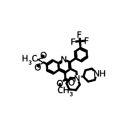 COC(=O)c1c(C[N+]2(C3CCNCC3)CCCCC2)c(-c2cccc(C(F)(F)F)c2)nc2cc(S(C)(=O)=O)ccc12